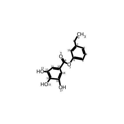 CCc1cccc(OC(=O)c2cc(O)c(O)c(O)c2)c1